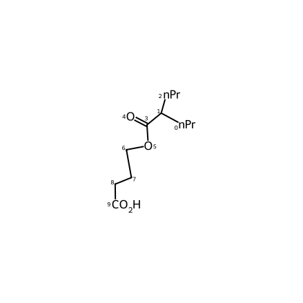 CCCC(CCC)C(=O)OCCCC(=O)O